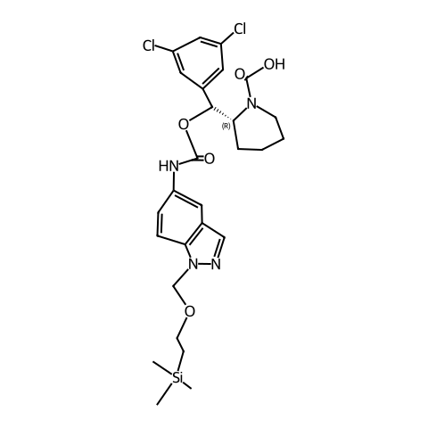 C[Si](C)(C)CCOCn1ncc2cc(NC(=O)OC(c3cc(Cl)cc(Cl)c3)[C@H]3CCCCN3C(=O)O)ccc21